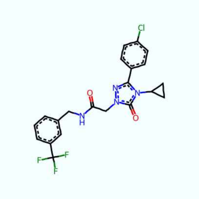 O=C(Cn1nc(-c2ccc(Cl)cc2)n(C2CC2)c1=O)NCc1cccc(C(F)(F)F)c1